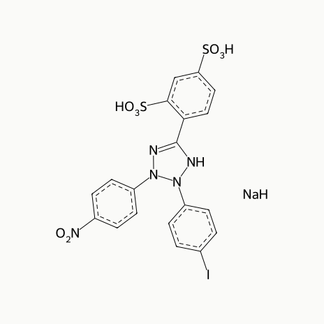 O=[N+]([O-])c1ccc(N2N=C(c3ccc(S(=O)(=O)O)cc3S(=O)(=O)O)NN2c2ccc(I)cc2)cc1.[NaH]